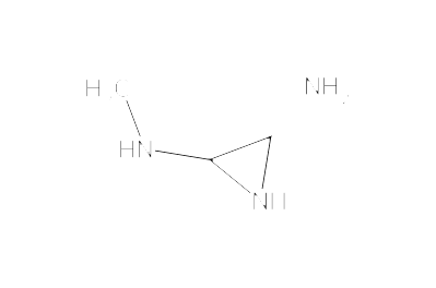 CNC1N[C@H]1N